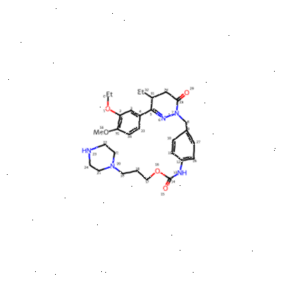 CCOc1cc(C2=NN(Cc3ccc(NC(=O)OCCCN4CCNCC4)cc3)C(=O)CC2CC)ccc1OC